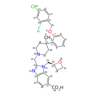 CC1(c2ccccc2OCc2ccc(Cl)cc2F)CCN(Cc2nc3ccc(C(=O)O)cc3n2C[C@@H]2CCO2)CC1